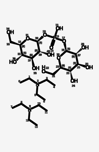 CCN(CC)CC.CCN(CC)CC.O=P(O)(O[C@@H]1O[C@H](CO)[C@@H](O)[C@H](O)[C@H]1O)O[C@@H]1O[C@H](CO)[C@@H](O)[C@H](O)[C@H]1O